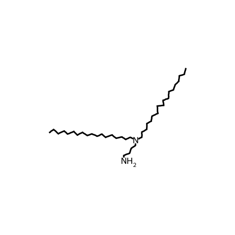 CCCCCCCCCCCCCCCCCCN(CCCCN)CCCCCCCCCCCCCCCCCC